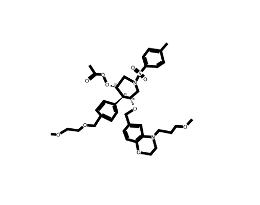 COCCCN1CCOc2ccc(CO[C@H]3CN(S(=O)(=O)c4ccc(C)cc4)C[C@@H](OOC(C)=O)[C@@H]3c3ccc(COCCOC)cc3)cc21